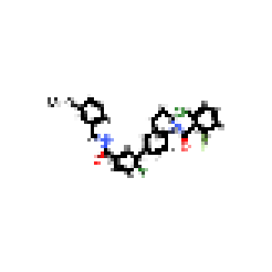 COc1cccc(CNC(=O)c2ccc(Cl)c(-c3ccc4c(c3)CCCN4C(=O)c3c(F)cccc3Cl)c2)c1